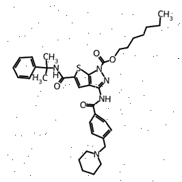 CCCCCCCOC(=O)n1nc(NC(=O)c2ccc(CN3CCCCC3)cc2)c2cc(C(=O)NC(C)(C)c3ccccc3)sc21